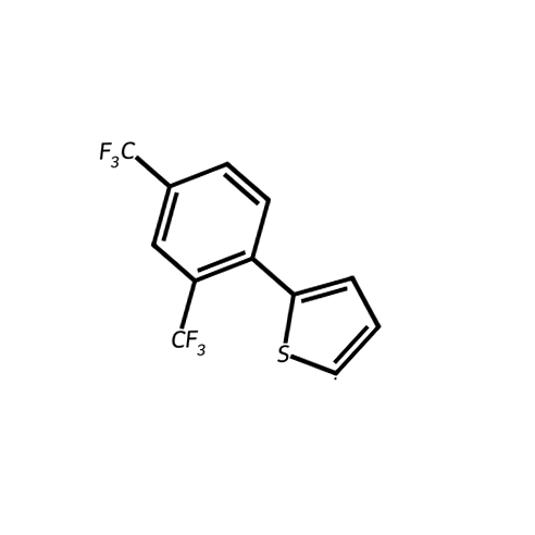 FC(F)(F)c1ccc(-c2cc[c]s2)c(C(F)(F)F)c1